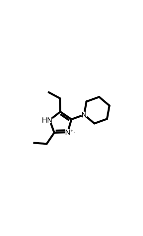 CCC1=[N+]C(N2CCCCC2)=C(CC)N1